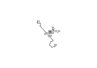 CC/C=C\C/C=C\C/C=C\C/C=C\C/C=C\CCCC(=O)O[C@H](COC(=O)CCCCCCC/C=C\C/C=C\C/C=C\CC)COP(=O)(O)OC[C@H](N)C(=O)O